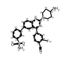 N#Cc1ccc(-c2nc(N3CCC(N)CC3)nc3ccc(-c4cccc(S(N)(=O)=O)c4)cc23)cc1F